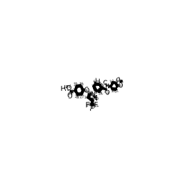 CN(C(=O)c1cccc(-n2nc(C(F)(F)F)cc2O[C@H]2CC[C@@H](C(=O)O)CC2)c1)c1ccc2c(c1)OCO2